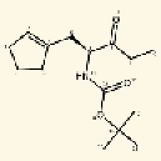 CCC(=O)[C@H](CC1=CCCC1)NC(=O)OC(C)(C)C